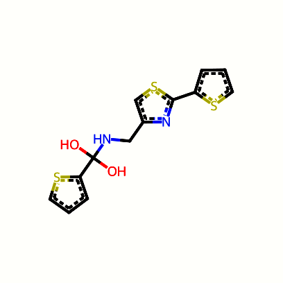 OC(O)(NCc1csc(-c2cccs2)n1)c1cccs1